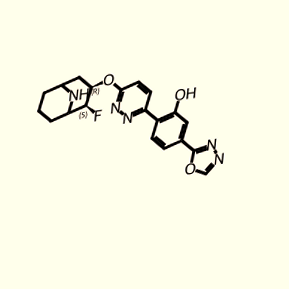 Oc1cc(-c2nnco2)ccc1-c1ccc(O[C@@H]2CC3CCCC(N3)[C@@H]2F)nn1